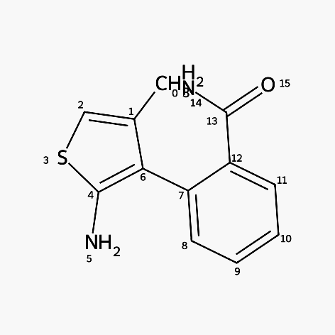 Cc1csc(N)c1-c1ccccc1C(N)=O